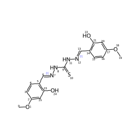 COc1ccc(/C=N/NC(=S)N/N=C/c2ccc(OC)cc2O)c(O)c1